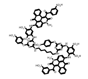 Cn1c(=O)c(C(=O)c2cccc(S(=O)(=O)O)c2)c2c3c(c(Nc4cc(Nc5nc(NCCCCCCNc6nc(Nc7cc(Nc8ccc9c%10c8C(=O)c8ccccc8-c%10c(C(=O)c8cccc(S(=O)(=O)O)c8)c(=O)n9C)c(S(=O)(=O)O)cc7S(=O)(=O)O)nc(Oc7ccc(S(=O)(=O)O)cc7)n6)nc(Oc6ccc(S(=O)(=O)O)cc6)n5)c(S(=O)(=O)O)cc4S(=O)(=O)O)ccc31)C(=O)c1ccccc1-2